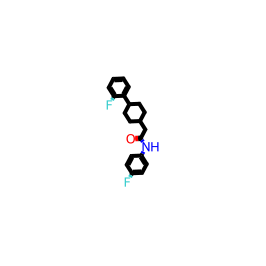 O=C(CC1CCC(c2ccccc2F)CC1)Nc1ccc(F)cc1